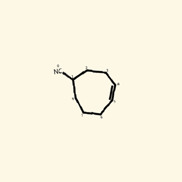 N#CC1CCC=CCCC1